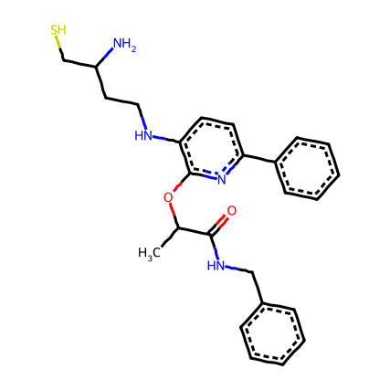 CC(Oc1nc(-c2ccccc2)ccc1NCCC(N)CS)C(=O)NCc1ccccc1